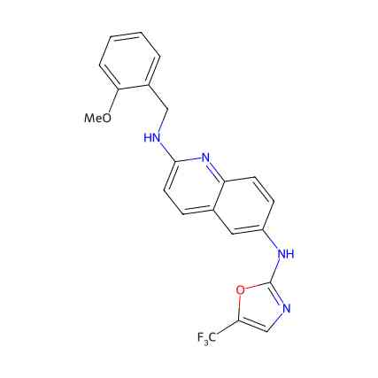 COc1ccccc1CNc1ccc2cc(Nc3ncc(C(F)(F)F)o3)ccc2n1